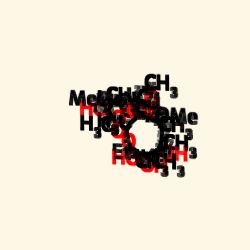 CC[C@H]1OC(=O)[C@H](C)[C@@H](O[C@H]2C[C@@](C)(OC)[C@@H](O)[C@H](C)O2)[C@H](C)[C@@H](O[C@@H]2O[C@H](C)C[C@H](NC)[C@H]2O)[C@](C)(OC)C[C@@H](C)[C@H](O)[C@H](C)[C@@H](O)[C@]1(C)O